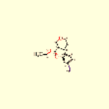 CCOC(=O)[C@@H]1COCC[C@@H]1c1ccc(I)cc1